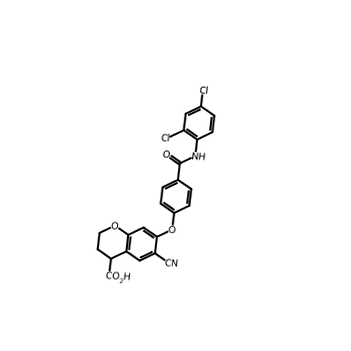 N#Cc1cc2c(cc1Oc1ccc(C(=O)Nc3ccc(Cl)cc3Cl)cc1)OCCC2C(=O)O